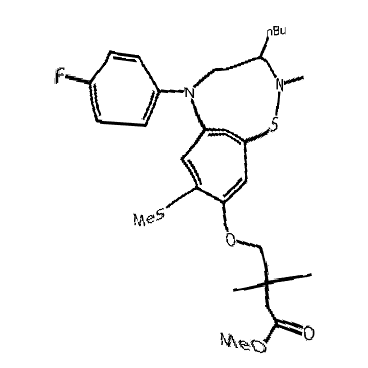 CCCCC1CN(c2ccc(F)cc2)c2cc(SC)c(OCC(C)(C)C(=O)OC)cc2SN1C